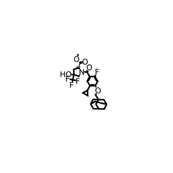 COC(=O)[C@@H]1CC(O)(C(F)(F)F)CN1C(=O)c1cc(C2CC2)c(OCC23CC4CC(CC(C4)C2)C3)cc1F